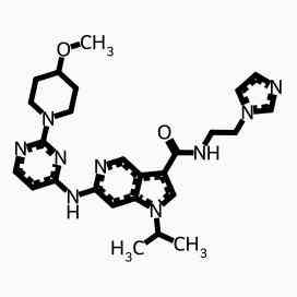 COC1CCN(c2nccc(Nc3cc4c(cn3)c(C(=O)NCCn3ccnc3)cn4C(C)C)n2)CC1